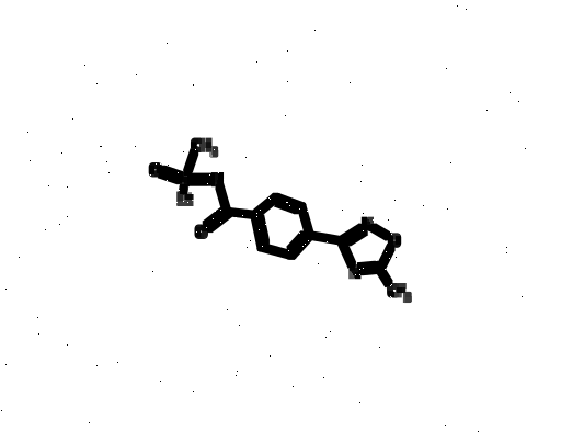 CCS(C)(=O)=NC(=O)c1ccc(-c2noc(C(F)(F)F)n2)cc1